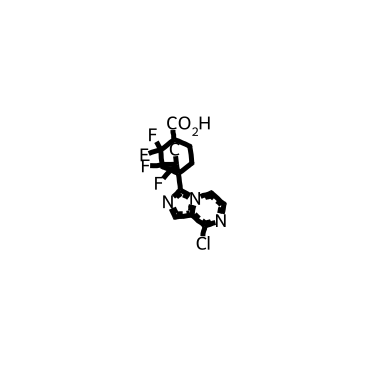 O=C(O)C12CCC(c3ncc4c(Cl)nccn34)(CC1(F)F)C(F)(F)C2